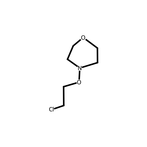 ClCCON1CCOCC1